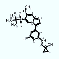 COc1cc2ncc(-c3cc(F)nc(NCC4(O)CC4)c3)n2cc1S(=O)(=O)C(C)(C)C